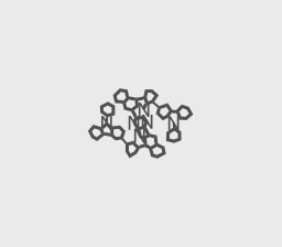 c1ccc(-n2c3ccccc3c3cc(-c4cccc5c6c7ccccc7cc7c8nc9c(nc8n(c45)c76)c4cc5ccccc5c5c6cccc(-c7ccc8c(c7)c7ccccc7n8-c7ccccc7)c6n9c45)ccc32)cc1